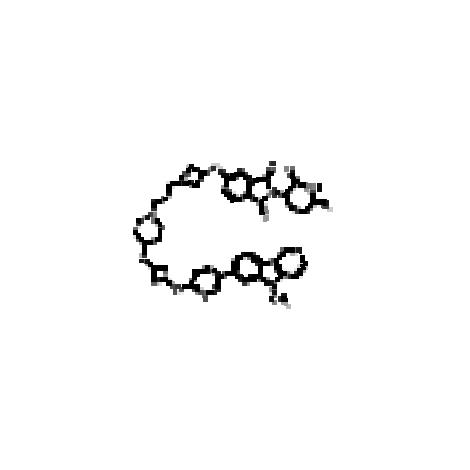 Cn1c2ccncc2c2ccc(-c3ccc(OC4CC(OC5CCN(CCCN6CC(Oc7ccc8c(c7)C(=O)N(C7CCC(=O)NC7=O)C8=O)C6)CC5)C4)nc3)cc21